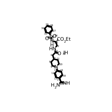 CCOC(=O)[C@H](CNC(=O)CC1CCN(c2ccc(C(=N)N)cc2)CC1)NS(=O)(=O)c1ccccc1.I